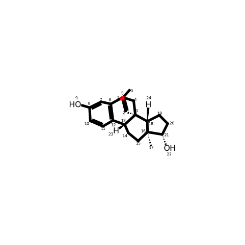 C/C=C\[C@@]12CCc3cc(O)ccc3[C@H]1CC[C@@]1(C)[C@H]2CC[C@@H]1O